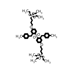 CCO[Si](CCCCOc1ccc(S(=O)(=O)c2ccc(OCCCC[Si](OCC)(OCC)OCC)cc2Cc2ccc(C)cc2)c(Cc2ccc(C)cc2)c1)(OCC)OCC